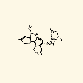 Cc1ccc(-c2nnc(N[C@@H]3C[C@@H](F)CN(C)C3)c3c2CCOC3)c(C(F)F)c1